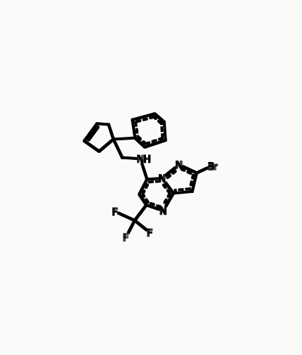 FC(F)(F)c1cc(NCC2(c3ccccc3)CC=CC2)n2nc(Br)cc2n1